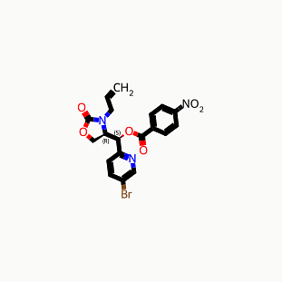 C=CCN1C(=O)OC[C@@H]1[C@H](OC(=O)c1ccc([N+](=O)[O-])cc1)c1ccc(Br)cn1